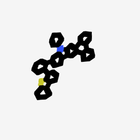 c1ccc(-n2c3cc(-c4ccccc4-c4cccc5c4sc4ccccc45)ccc3c3cc4c5ccccc5c5ccccc5c4cc32)cc1